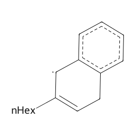 CCCCCCC1=CCc2ccccc2[CH]1